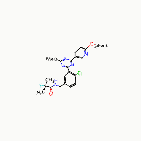 CCC[C@@H](C)OC1=NC=C(c2nc(OC)nc(-c3cc(CNC(=O)C(C)(C)F)ccc3Cl)n2)CC1